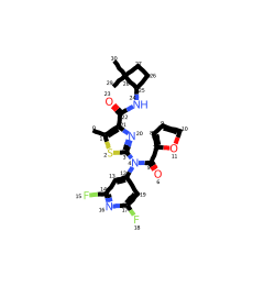 Cc1sc(N(C(=O)c2ccco2)c2cc(F)nc(F)c2)nc1C(=O)NC1CCC1(C)C